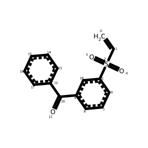 C=CS(=O)(=O)c1cccc(C(=O)c2ccccc2)c1